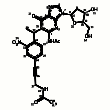 CC(=O)Nc1nc2c(ncn2[C@H]2C[C@H](O)[C@@H](CO)O2)c(=O)n1C(C)c1ccc(C#CCNC(=O)C(F)(F)F)cc1[N+](=O)[O-]